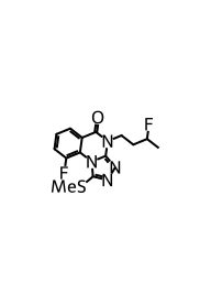 CSc1nnc2n(CCC(C)F)c(=O)c3cccc(F)c3n12